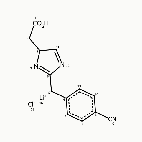 N#Cc1ccc(CC2=NC(CC(=O)O)C=N2)cc1.[Cl-].[Li+]